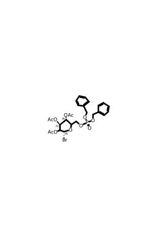 CC(=O)OC1[C@@H](OC(C)=O)[C@H](OC(C)=O)C(COP(=O)(OCc2ccccc2)OCc2ccccc2)O[C@@H]1Br